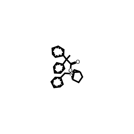 CC(C(=O)OC1C2CCC1N(Cc1ccccc1)C2)(c1ccccc1)c1ccccc1